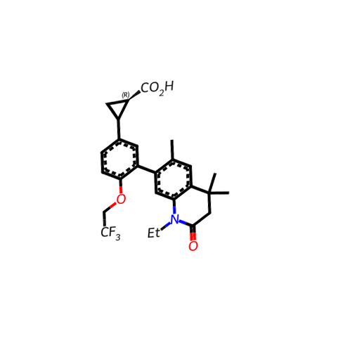 CCN1C(=O)CC(C)(C)c2cc(C)c(-c3cc(C4C[C@H]4C(=O)O)ccc3OCC(F)(F)F)cc21